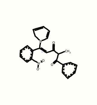 CC(C(=O)/C=C(/c1ccccc1[N+](=O)[O-])N1C=CC=CC1)C(=O)c1ccccc1